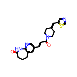 O=C1CCCc2cc(/C=C/C(=O)N3CCC(=Cc4cncs4)CC3)cnc2N1